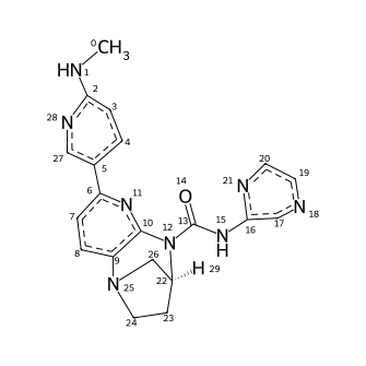 CNc1ccc(-c2ccc3c(n2)N(C(=O)Nc2cnccn2)[C@H]2CCN3C2)cn1